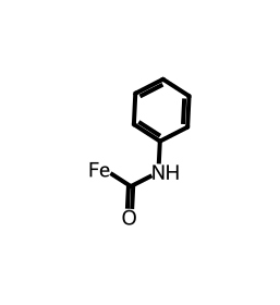 O=[C]([Fe])Nc1ccccc1